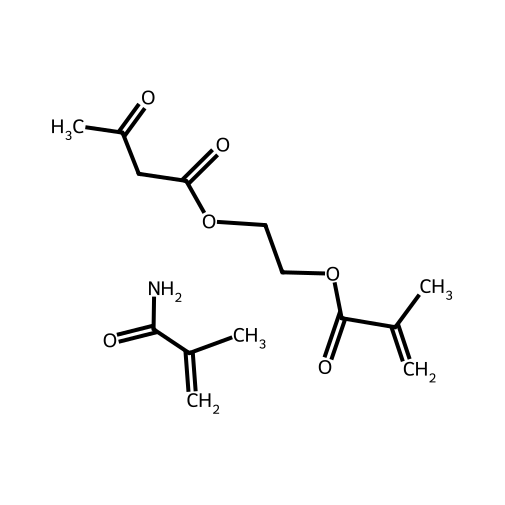 C=C(C)C(=O)OCCOC(=O)CC(C)=O.C=C(C)C(N)=O